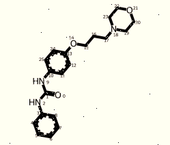 O=C(Nc1ccccc1)Nc1ccc(OCCCN2CCOCC2)cc1